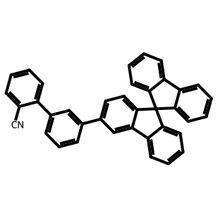 N#Cc1ccccc1-c1cccc(-c2ccc3c(c2)-c2ccccc2C32c3ccccc3-c3ccccc32)c1